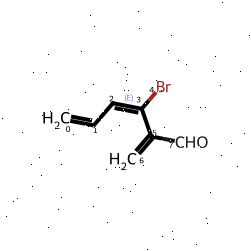 C=C/C=C(/Br)C(=C)C=O